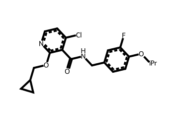 CC(C)Oc1ccc(CNC(=O)c2c(Cl)ccnc2OCC2CC2)cc1F